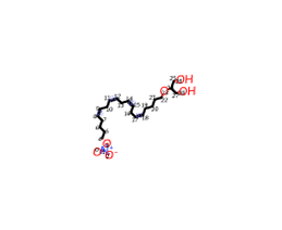 O=[N+]([O-])OCCCC/C=C\C/C=C\C/C=C\C/C=C\CCCCOC(CO)CO